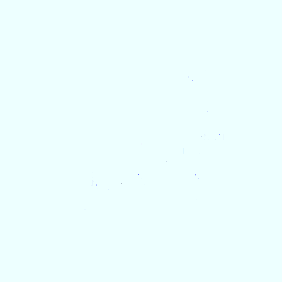 CCN(CCN(NC)C(=O)Nc1ccncc1)c1c(F)cc(N2C[C@H](CNC(=O)C(F)F)OC2=O)cc1F